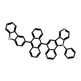 c1ccc(-n2c3ccncc3c3cc(-c4c5ccccc5c(-c5ccc6oc7ccccc7c6c5)c5ccccc45)c4ccccc4c32)cc1